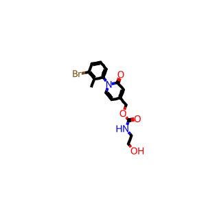 Cc1c(Br)cccc1-n1ccc(COC(=O)NCCO)cc1=O